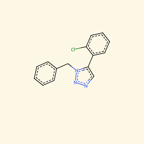 Clc1ccccc1-c1cnnn1Cc1ccccc1